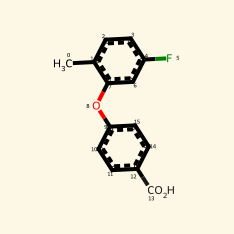 Cc1ccc(F)cc1Oc1ccc(C(=O)O)cc1